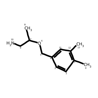 Cc1ccc(COC(C)CN)cc1C